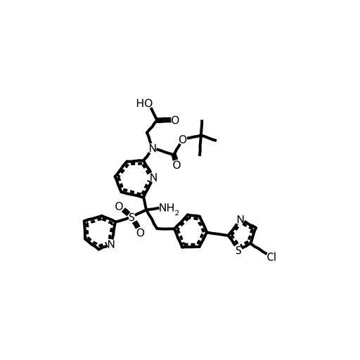 CC(C)(C)OC(=O)N(CC(=O)O)c1cccc(C(N)(Cc2ccc(-c3ncc(Cl)s3)cc2)S(=O)(=O)c2ccccn2)n1